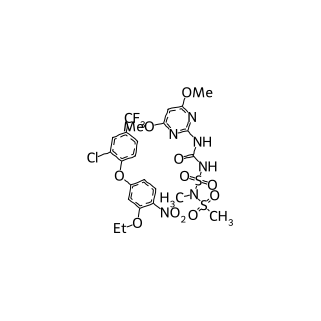 CCOc1cc(Oc2ccc(C(F)(F)F)cc2Cl)ccc1[N+](=O)[O-].COc1cc(OC)nc(NC(=O)NS(=O)(=O)N(C)S(C)(=O)=O)n1